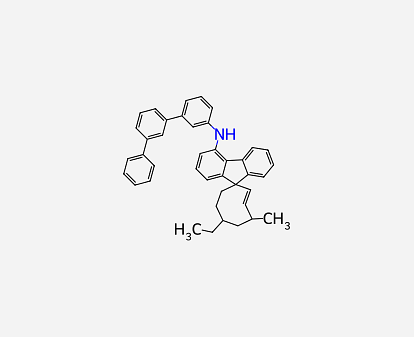 CCC1CCC2(/C=C/C(C)C1)c1ccccc1-c1c(Nc3cccc(-c4cccc(-c5ccccc5)c4)c3)cccc12